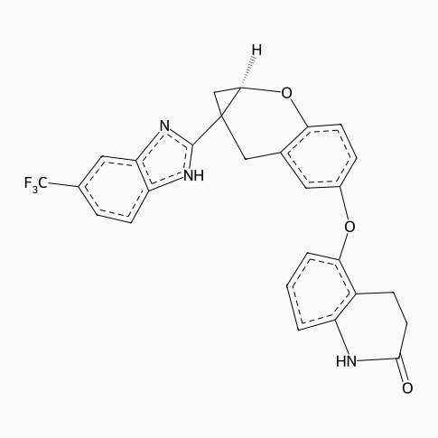 O=C1CCc2c(cccc2Oc2ccc3c(c2)CC2(c4nc5cc(C(F)(F)F)ccc5[nH]4)C[C@H]2O3)N1